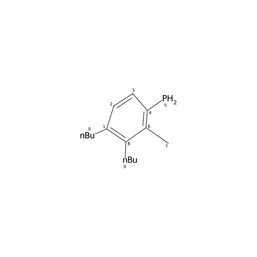 CCCCc1ccc(P)c(C)c1CCCC